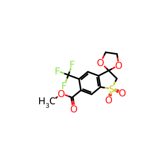 COC(=O)c1cc2c(cc1C(F)(F)F)C1(CS2(=O)=O)OCCO1